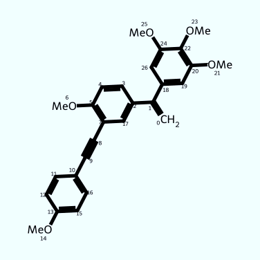 C=C(c1ccc(OC)c(C#Cc2ccc(OC)cc2)c1)c1cc(OC)c(OC)c(OC)c1